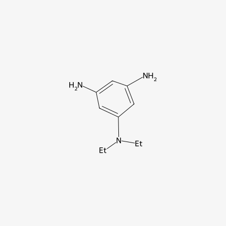 CCN(CC)c1cc(N)cc(N)c1